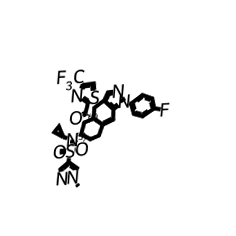 Cn1cc(S(=O)(=O)N(C2CC2)[C@H]2CCC3=Cc4c(cnn4-c4ccc(F)cc4)C[C@]3(C(=O)c3nc(C(F)(F)F)cs3)C2)cn1